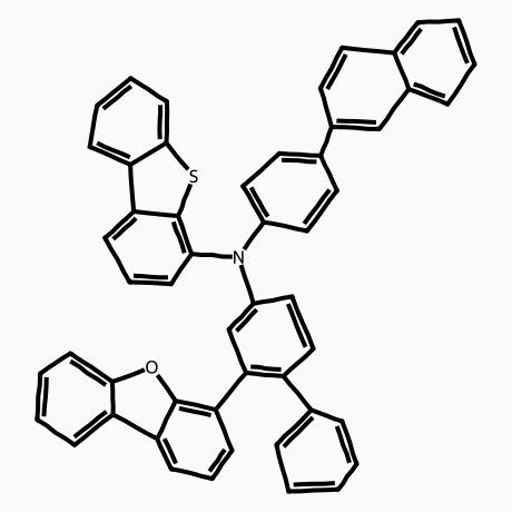 c1ccc(-c2ccc(N(c3ccc(-c4ccc5ccccc5c4)cc3)c3cccc4c3sc3ccccc34)cc2-c2cccc3c2oc2ccccc23)cc1